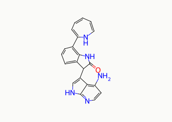 Nc1ccnc2[nH]cc(C3C(=O)Nc4c(C5=CC=CC=CN5)cccc43)c12